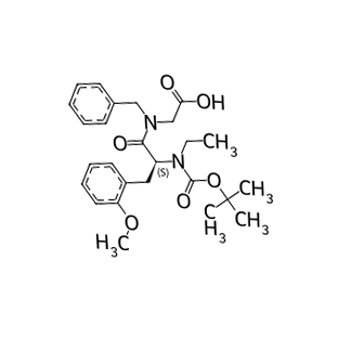 CCN(C(=O)OC(C)(C)C)[C@@H](Cc1ccccc1OC)C(=O)N(CC(=O)O)Cc1ccccc1